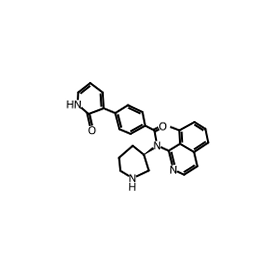 Cc1cccc2ccnc(N(C(=O)c3ccc(-c4ccc[nH]c4=O)cc3)[C@@H]3CCCNC3)c12